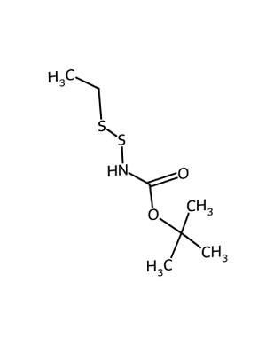 CCSSNC(=O)OC(C)(C)C